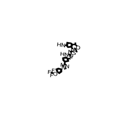 CNc1ccc(C(C)C)c(N2C(=O)CS/C2=N\C(=O)Nc2ccc(-c3ncn(-c4ccc(OC(F)(F)F)cc4)n3)cc2F)c1